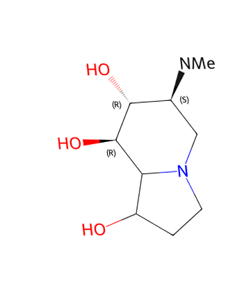 CN[C@H]1CN2CCC(O)C2[C@@H](O)[C@@H]1O